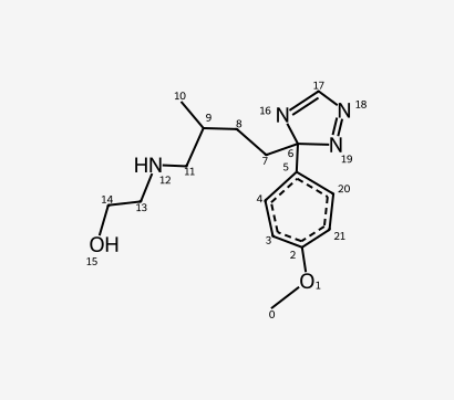 COc1ccc(C2(CCC(C)CNCCO)N=CN=N2)cc1